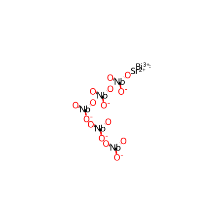 [Bi+3].[O]=[Nb](=[O])[O-].[O]=[Nb](=[O])[O-].[O]=[Nb](=[O])[O-].[O]=[Nb](=[O])[O-].[O]=[Nb](=[O])[O-].[Sr+2]